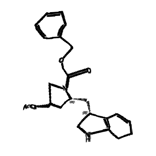 CC(=O)OC1C[C@@H](C[C@H]2CNC3=C2C=CCC3)N(C(=O)OCc2ccccc2)C1